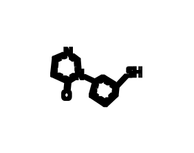 O=c1ccncn1-c1cccc(S)c1